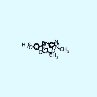 CCn1cnc2cc(Br)cc(O[C@H](C)[C@@H]3CC(=O)N([C@H](C)c4ccc(OC)cc4)C3)c21